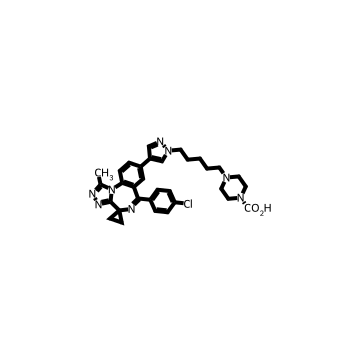 Cc1nnc2n1-c1ccc(-c3cnn(CCCCCN4CCN(C(=O)O)CC4)c3)cc1C(c1ccc(Cl)cc1)=NC21CC1